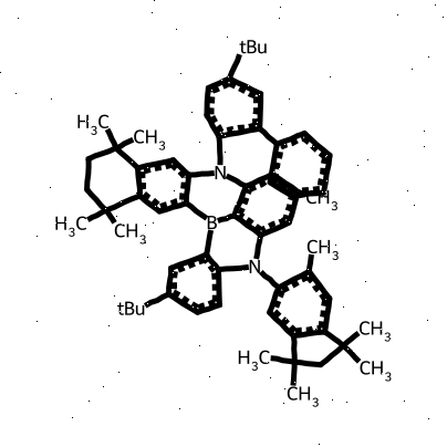 Cc1cc2c3c(c1)N(c1ccc(C(C)(C)C)cc1-c1ccccc1)c1cc4c(cc1B3c1cc(C(C)(C)C)ccc1N2c1cc2c(cc1C)C(C)(C)CC2(C)C)C(C)(C)CCC4(C)C